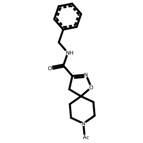 CC(=O)N1CCC2(CC1)CC(C(=O)NCc1ccccc1)=NO2